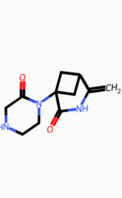 C=C1NC(=O)C2(N3CCNCC3=O)CC1C2